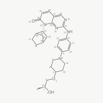 C[C@H](O)COC1CCN(c2ccc(Nc3ncc4ccc(=O)n([C@@H]5CC6CCC5C6)c4n3)cc2)CC1